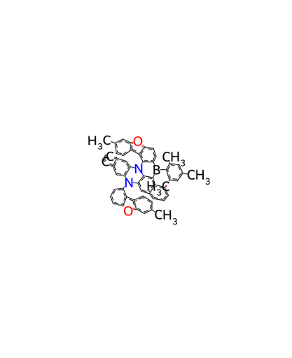 Cc1cc(C)c(B2c3ccc4oc5cc(C)ccc5c4c3N3c4cc5ccccc5cc4N(c4cccc5oc6cc(C)ccc6c45)c4cc5ccccc5c2c43)c(C)c1